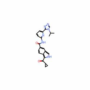 CC(C)n1cnnc1-c1cccc(NC(=O)c2ccc3c(C(=O)C4CC4)[nH]cc3c2)n1